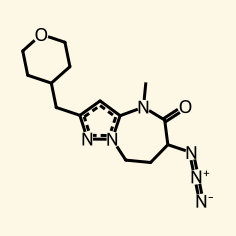 CN1C(=O)C(N=[N+]=[N-])CCn2nc(CC3CCOCC3)cc21